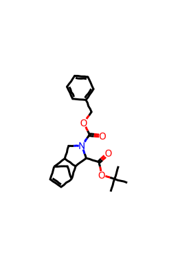 CC(C)(C)OC(=O)C1C2C3C=CC(C3)C2CN1C(=O)OCc1ccccc1